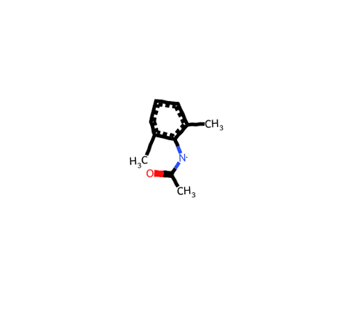 CC(=O)[N]c1c(C)cccc1C